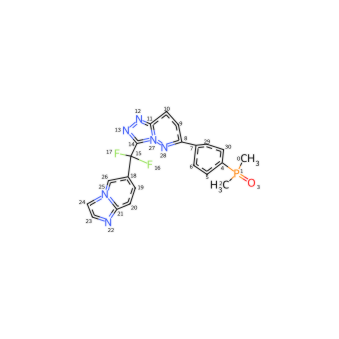 CP(C)(=O)c1ccc(-c2ccc3nnc(C(F)(F)c4ccc5nccn5c4)n3n2)cc1